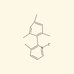 [CH2-][n+]1cccc(C)c1-c1c(C)cc(C)cc1C